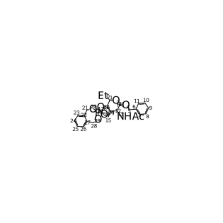 CCC1O[C@@H](OCc2ccccc2)C(NC(C)=O)[C@@H](C)[C@@H]1OP1(=O)OCc2ccccc2CO1